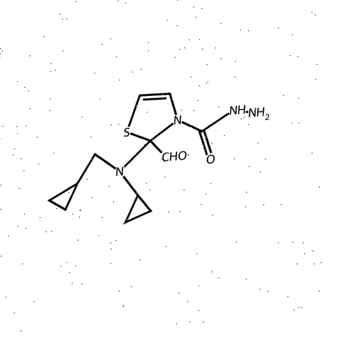 NNC(=O)N1C=CSC1([C]=O)N(CC1CC1)C1CC1